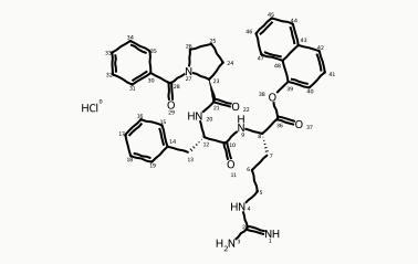 Cl.N=C(N)NCCC[C@H](NC(=O)[C@H](Cc1ccccc1)NC(=O)[C@@H]1CCCN1C(=O)c1ccccc1)C(=O)Oc1cccc2ccccc12